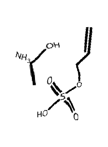 C=CCOS(=O)(=O)O.CCO.N